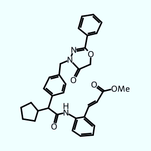 COC(=O)/C=C/c1ccccc1NC(=O)C(c1ccc(CN2N=C(c3ccccc3)OCC2=O)cc1)C1CCCC1